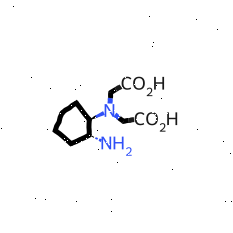 N[C@@H]1CCCC[C@H]1N(CC(=O)O)CC(=O)O